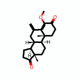 C=C1C[C@@H]2[C@H](CC[C@]3(C)C(=O)CC[C@@H]23)[C@@]2(C)CCC(=O)C(OC)=C12